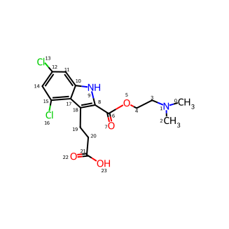 CN(C)CCOC(=O)c1[nH]c2cc(Cl)cc(Cl)c2c1CCC(=O)O